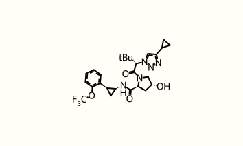 CC(C)(C)[C@@H](C(=O)N1C[C@H](O)C[C@H]1C(=O)N[C@@H]1C[C@H]1c1ccccc1OC(F)(F)F)n1cc(C2CC2)nn1